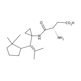 CC(C)=C(C1CCCC1(C)C)C1(NC(=O)[C@@H](N)CC(=O)O)CC1